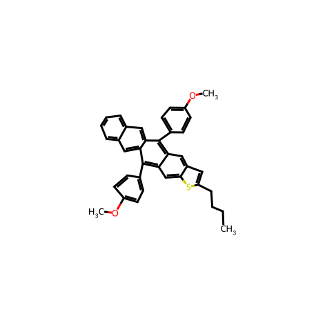 CCCCc1cc2cc3c(-c4ccc(OC)cc4)c4cc5ccccc5cc4c(-c4ccc(OC)cc4)c3cc2s1